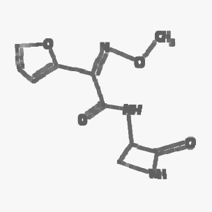 CON=C(C(=O)NC1CNC1=O)c1ccco1